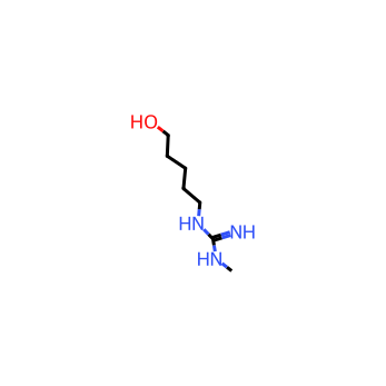 CNC(=N)NCCCCCO